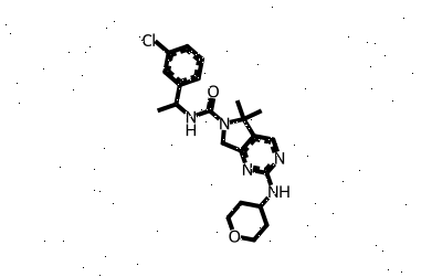 CC(NC(=O)N1Cc2nc(NC3CCOCC3)ncc2C1(C)C)c1cccc(Cl)c1